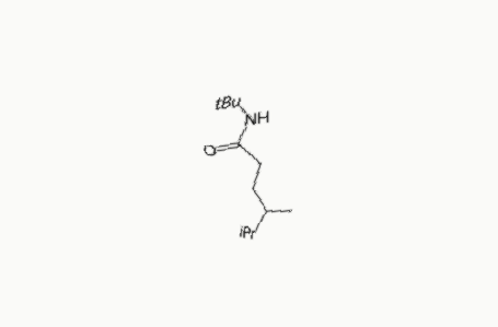 CC(C)C(C)CCC(=O)NC(C)(C)C